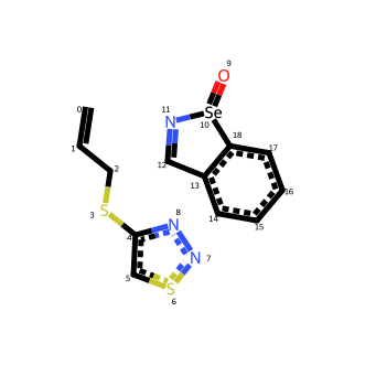 C=CCSc1csnn1.O=[Se]1N=Cc2ccccc21